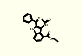 CCOC(=O)c1cccc2[nH]c(C(=O)c3ccccc3)c(NC(C)=O)c12